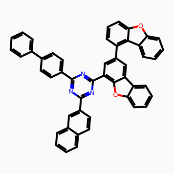 c1ccc(-c2ccc(-c3nc(-c4ccc5ccccc5c4)nc(-c4cc(-c5cccc6oc7ccccc7c56)cc5c4oc4ccccc45)n3)cc2)cc1